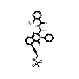 C[C@@H](NC(=O)c1nccnc1N)c1nc2cccc(C#CCNS(C)(=O)=O)c2c(=O)n1-c1ccccc1